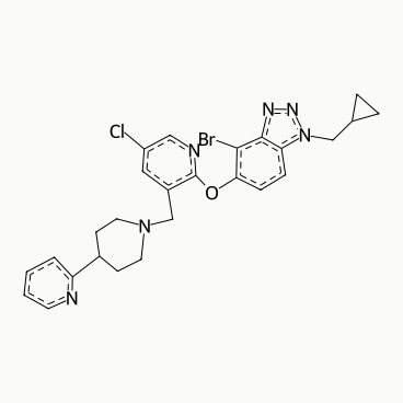 Clc1cnc(Oc2ccc3c(nnn3CC3CC3)c2Br)c(CN2CCC(c3ccccn3)CC2)c1